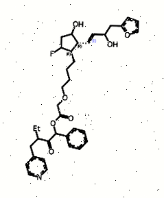 CCC(Cc1ccncc1)C(=O)C(OC(=O)COCCCC[C@H]1C(F)CC(O)[C@@H]1/C=C/C(O)Cc1ccco1)c1ccccc1